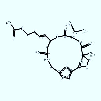 CC(=O)SCC/C=C/C1CC(=O)NCc2nc(cs2)C2=NC(C)(CS2)C(=O)N[C@@H](C(C)C)C(=O)O1